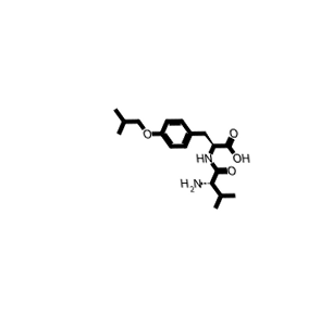 CC(C)COc1ccc(C[C@H](NC(=O)[C@@H](N)C(C)C)C(=O)O)cc1